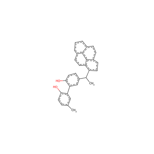 Cc1ccc(O)c(-c2cc(C(C)c3ccc4ccc5cccc6ccc3c4c56)ccc2O)c1